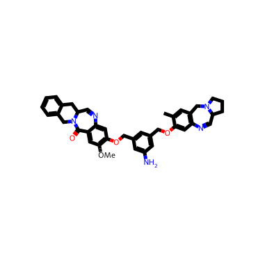 COc1cc2c(cc1OCc1cc(N)cc(COc3cc4c(cc3C)CN3CCCC3C=N4)c1)N=CC1Cc3ccccc3CN1C2=O